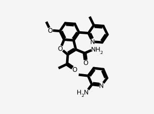 COc1ccc(-c2ncccc2C)c2c(C(N)=O)c(C(C)=O)oc12.Cc1cccnc1N